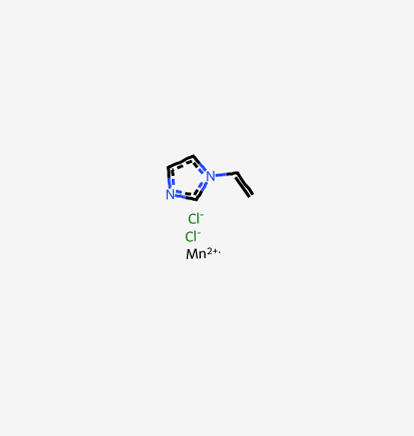 C=Cn1ccnc1.[Cl-].[Cl-].[Mn+2]